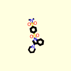 CN(C)S(=O)(=O)c1ccc(S(=O)(=O)n2cc(N3CCCCC3)c3ccccc32)cc1